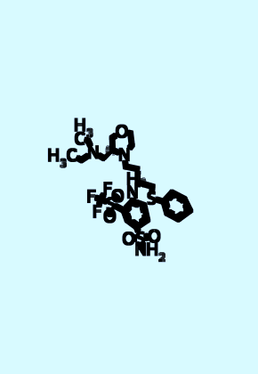 CCN(CC)C[C@H]1COCCN1CC[C@H](CSc1ccccc1)Nc1ccc(S(N)(=O)=O)cc1S(=O)(=O)C(F)(F)F